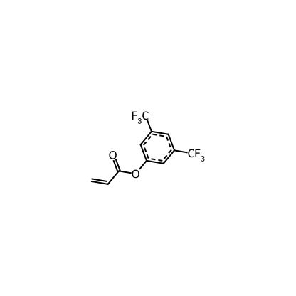 C=CC(=O)Oc1cc(C(F)(F)F)cc(C(F)(F)F)c1